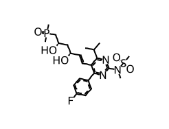 CC(C)c1nc(N(C)S(C)(=O)=O)nc(-c2ccc(F)cc2)c1/C=C/[C@@H](O)C[C@@H](O)CP(C)(C)=O